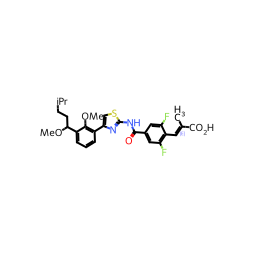 COc1c(-c2csc(NC(=O)c3cc(F)c(/C=C(\C)C(=O)O)c(F)c3)n2)cccc1C(CCC(C)C)OC